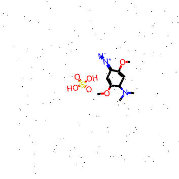 COC1=CC(N(C)C)C(OC)=CC1=[N+]=[N-].O=S(=O)(O)O